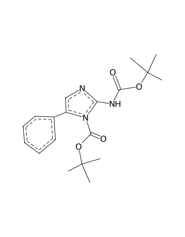 CC(C)(C)OC(=O)Nc1ncc(-c2ccccc2)n1C(=O)OC(C)(C)C